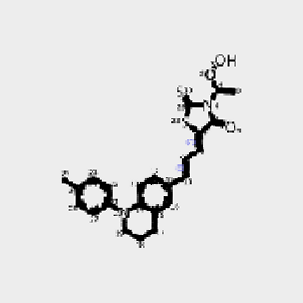 C=C(OO)N1C(=O)/C(=C/C=C/c2ccc3c(c2)CCCN3c2ccc(C)cc2)SC1=S